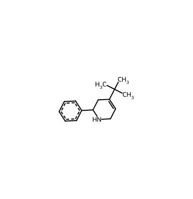 CC(C)(C)C1=CCNC(c2ccccc2)C1